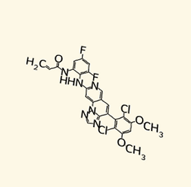 C=CC(=O)Nc1cc(F)cc(F)c1Nc1cc2c(cn1)cc(-c1c(Cl)c(OC)cc(OC)c1Cl)c1ncnn12